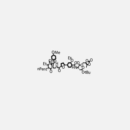 CCCCC[C@@H](C(=O)NCNC(=O)c1ccc(-c2ccc(C(=O)N[C@@H](CC(=O)OC(C)(C)C)C(=O)OCc3oc(=O)oc3C)c(OCC)c2)o1)[C@@H](CC)N(C=O)OCc1ccc(OC)cc1